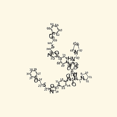 O=C(ON(C(=O)NCN1CCCC1)c1ccc(-c2cnc(CSCCOc3ccccc3)o2)cc1)C(=O)ON(C(=O)NCN1CCCC1)c1ccc(-c2cnc(CSCCOc3ccccc3)o2)cc1